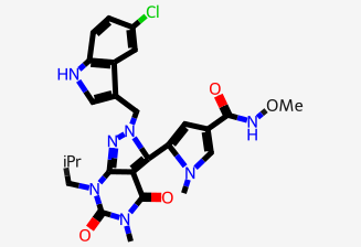 CONC(=O)c1cc(-c2c3c(=O)n(C)c(=O)n(CC(C)C)c3nn2Cc2c[nH]c3ccc(Cl)cc23)n(C)c1